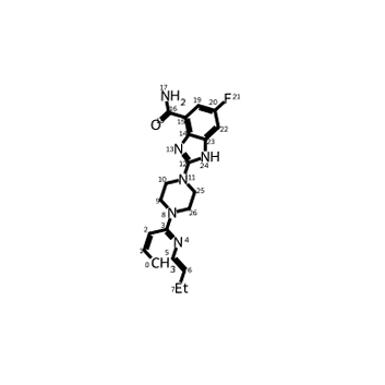 C\C=C/C(=N\C=C\CC)N1CCN(c2nc3c(C(N)=O)cc(F)cc3[nH]2)CC1